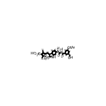 COc1cc(CO)cc(C(=O)NC(=O)Nc2ccc3c(c2)NC(=O)/C3=C\c2[nH]c(C)c(C(=O)O)c2C)c1